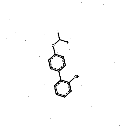 Oc1c[c]ccc1-c1ccc(OC(F)F)cc1